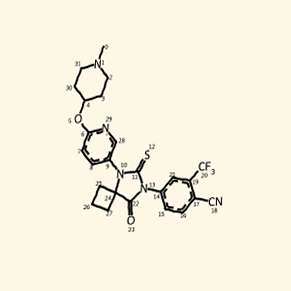 CN1CCC(Oc2ccc(N3C(=S)N(c4ccc(C#N)c(C(F)(F)F)c4)C(=O)C34CCC4)cn2)CC1